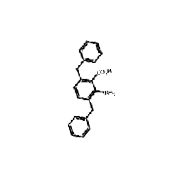 Nc1c(Cc2ccccc2)ccc(Cc2ccccc2)c1C(=O)O